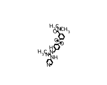 C/N=C(\NCc1ccc(S(=O)(=O)c2cccc(C(=O)N(C)C)c2)cc1)Nc1ccncc1